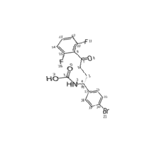 O=C(O)N[C@H](CCC(=O)c1c(F)cccc1F)c1ccc(Br)cc1